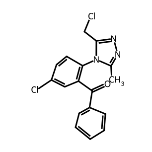 Cc1nnc(CCl)n1-c1ccc(Cl)cc1C(=O)c1ccccc1